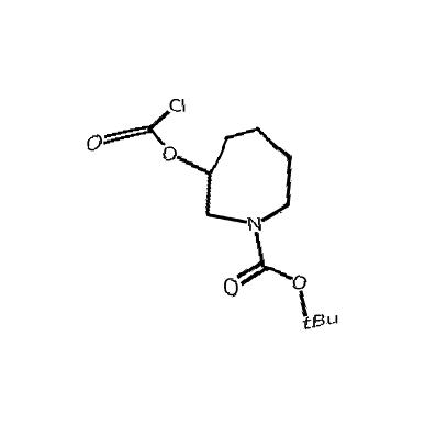 CC(C)(C)OC(=O)N1CCCCC(OC(=O)Cl)C1